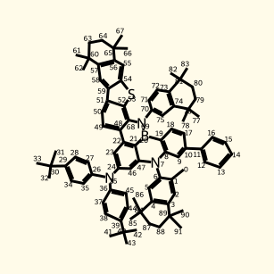 Cc1cc2c(cc1N1c3cc(-c4ccccc4)ccc3B3c4c(cc(N(c5ccc(C(C)(C)C)cc5)c5ccc(C(C)(C)C)cc5)cc41)-c1ccc4c(sc5cc6c(cc54)C(C)(C)CCC6(C)C)c1N3c1ccc3c(c1)C(C)(C)CCC3(C)C)C(C)(C)CCC2(C)C